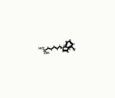 OB(O)CCCCCn1ccc2c(F)cccc21